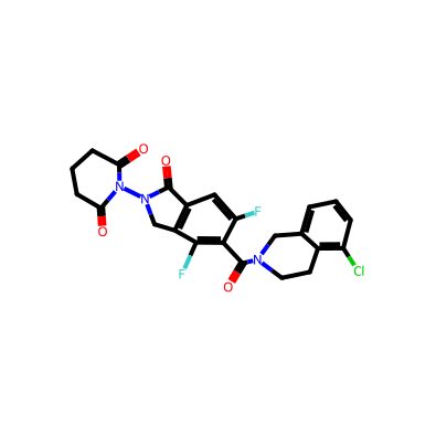 O=C(c1c(F)cc2c(c1F)CN(N1C(=O)CCCC1=O)C2=O)N1CCc2c(Cl)cccc2C1